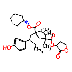 CCC(CC(C)(CC(C)(C)C(=O)OC1CCOC1=O)C(=O)ON=C1CCCCC1)c1ccc(O)cc1